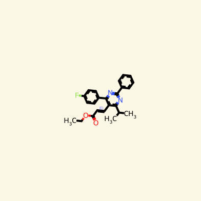 CCOC(=O)/C=C/c1c(-c2ccc(F)cc2)nc(-c2ccccc2)nc1C(C)C